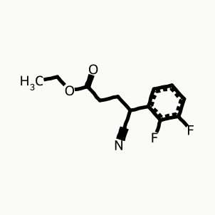 CCOC(=O)CCC(C#N)c1cccc(F)c1F